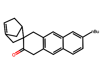 CCCCc1ccc2cc3c(cc2c1)CC1(CC2=CCC1C2)C(=O)C3